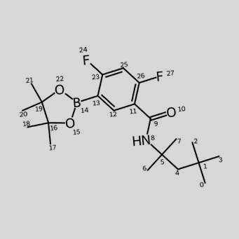 CC(C)(C)CC(C)(C)NC(=O)c1cc(B2OC(C)(C)C(C)(C)O2)c(F)cc1F